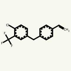 C=Cc1ccc(Cc2ccc(Cl)c(C(F)(F)F)c2)cc1